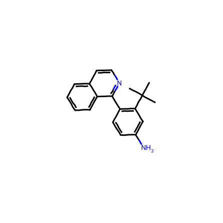 CC(C)(C)c1cc(N)ccc1-c1nccc2ccccc12